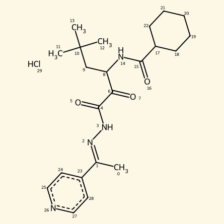 C/C(=N\NC(=O)C(=O)C(CC(C)(C)C)NC(=O)C1CCCCC1)c1ccncc1.Cl